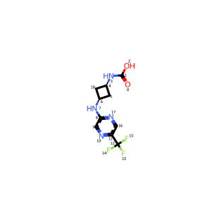 O=C(O)N[C@H]1C[C@@H](Nc2cnc(C(F)(F)F)cn2)C1